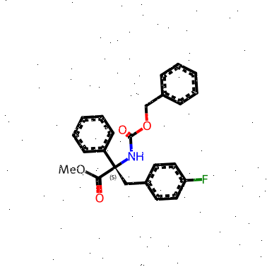 COC(=O)[C@@](Cc1ccc(F)cc1)(NC(=O)OCc1ccccc1)c1ccccc1